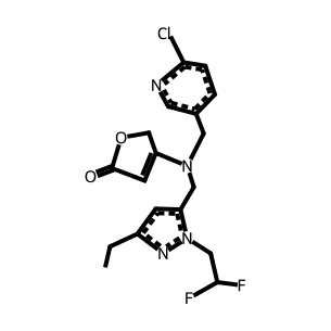 CCc1cc(CN(Cc2ccc(Cl)nc2)C2=CC(=O)OC2)n(CC(F)F)n1